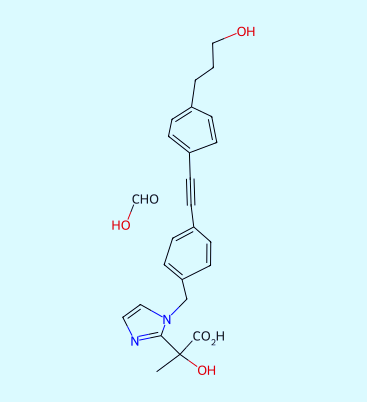 CC(O)(C(=O)O)c1nccn1Cc1ccc(C#Cc2ccc(CCCO)cc2)cc1.O=CO